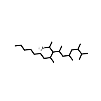 CCCCCCCC(C)C(C(C)N)C(C)CC(C)CC(C)C(C)C